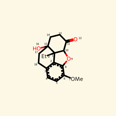 CCC12c3c4ccc(OC)c3OC1C(=O)CCC2(O)CC4